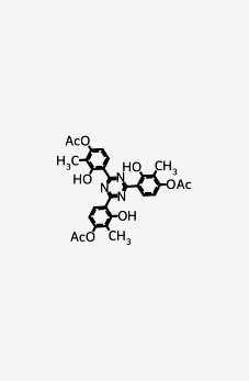 CC(=O)Oc1ccc(-c2nc(-c3ccc(OC(C)=O)c(C)c3O)nc(-c3ccc(OC(C)=O)c(C)c3O)n2)c(O)c1C